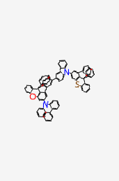 c1ccc(-c2ccccc2N(c2ccccc2)c2cc3c4c(c2)-c2cc(-c5ccc6c(c5)c5ccccc5n6-c5cc6c7c(c5)-c5ccccc5C7(c5ccccc5)c5ccccc5S6)ccc2C4(c2ccccc2)c2ccccc2O3)cc1